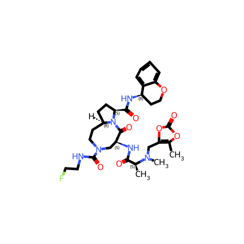 Cc1oc(=O)oc1CN(C)[C@@H](C)C(=O)N[C@H]1CN(C(=O)NCCF)CC[C@H]2CC[C@@H](C(=O)N[C@@H]3CCOc4ccccc43)N2C1=O